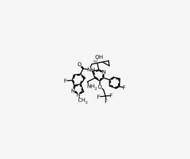 Cn1cc2cc(C(=O)NC[C@](O)(c3cc(CN)c(OCC(F)(F)F)c(-c4ccc(F)cc4)n3)C3CC3)cc(F)c2n1